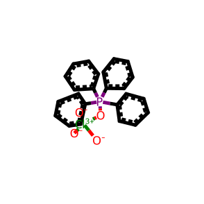 [O-][Cl+3]([O-])([O-])OP(c1ccccc1)(c1ccccc1)(c1ccccc1)c1ccccc1